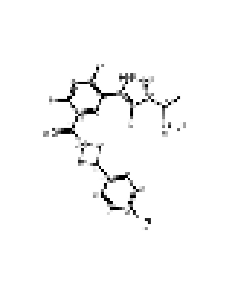 Cc1cc(C)c(-c2[nH]nc(C(C)C(=O)O)c2C)cc1C(=O)N1CC(c2ccc(C#N)cc2)C1